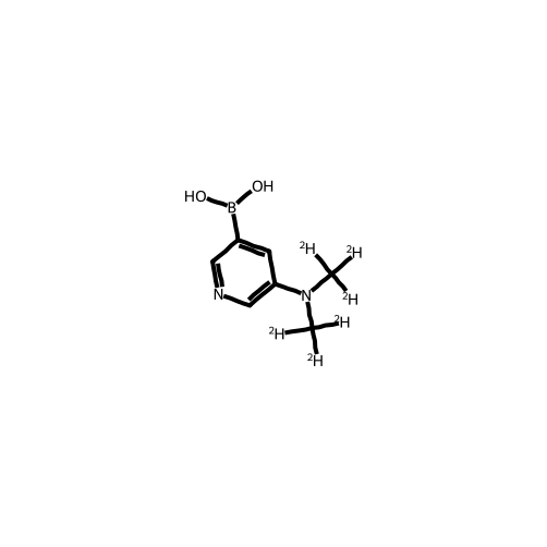 [2H]C([2H])([2H])N(c1cncc(B(O)O)c1)C([2H])([2H])[2H]